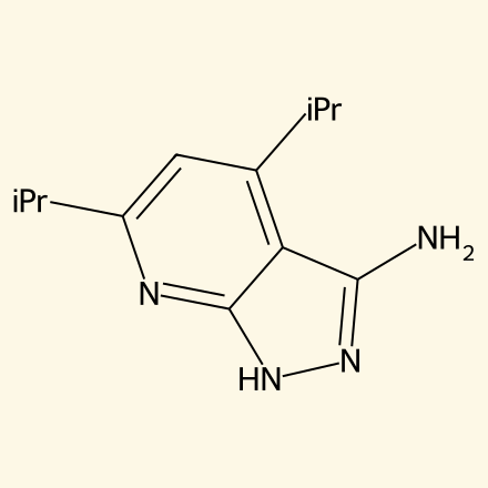 CC(C)c1cc(C(C)C)c2c(N)n[nH]c2n1